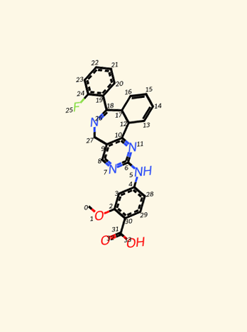 COc1cc(Nc2ncc3c(n2)C2C=CC=CC2C(c2ccccc2F)=NC3)ccc1C(=O)O